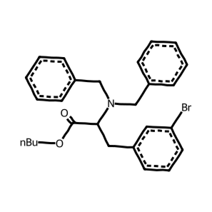 CCCCOC(=O)C(Cc1cccc(Br)c1)N(Cc1ccccc1)Cc1ccccc1